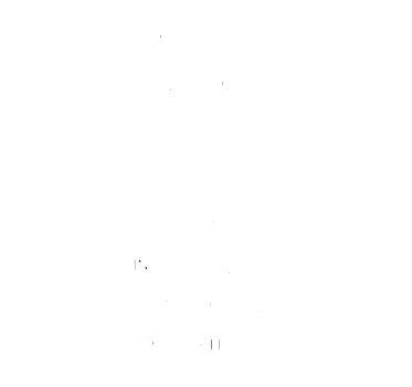 CC1(C)Oc2ccc(CC(=O)O)cc2NC1=O